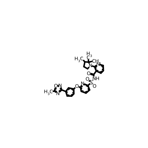 Cc1nc(-c2cccc(Oc3cccc(S(=O)(=O)NC(=O)c4cccnc4N4CCC(C)C4(C)C)n3)c2)no1